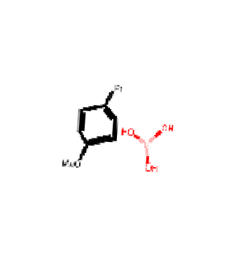 COc1ccc(C(C)C)cc1.OB(O)O